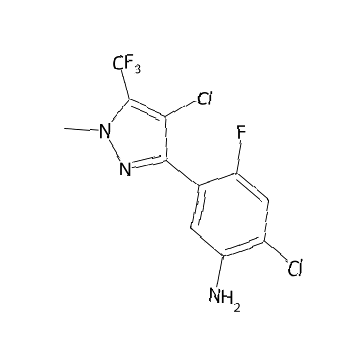 Cn1nc(-c2cc(N)c(Cl)cc2F)c(Cl)c1C(F)(F)F